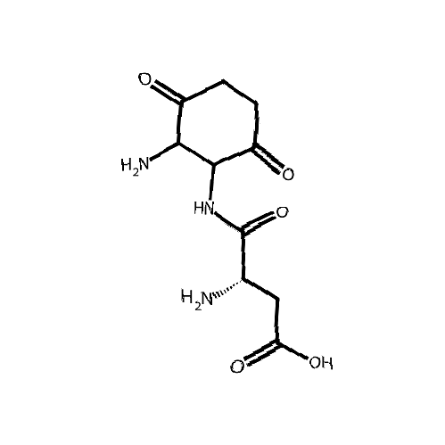 NC1C(=O)CCC(=O)C1NC(=O)[C@@H](N)CC(=O)O